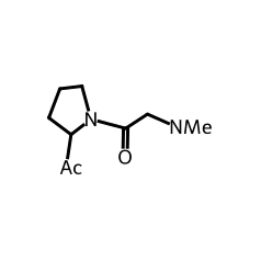 CNCC(=O)N1CCCC1C(C)=O